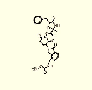 CC(C)C(C)(NC(=O)OCc1ccccc1)C(=O)ON1C(=O)CCC(N2Cc3c(CNC(=O)OC(C)(C)C)cccc3C2=O)C1=O